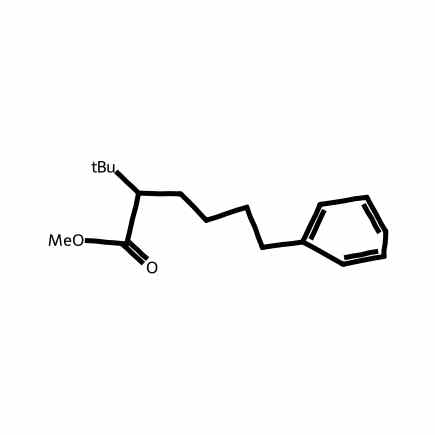 COC(=O)C(CCCCc1ccccc1)C(C)(C)C